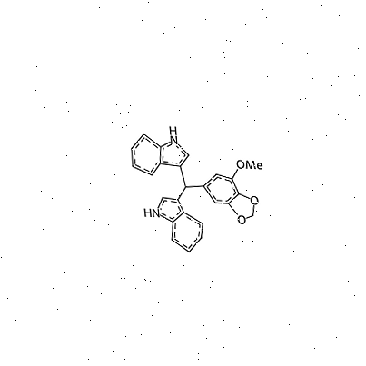 COc1cc(C(c2c[nH]c3ccccc23)c2c[nH]c3ccccc23)cc2c1OCO2